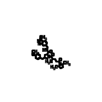 COc1ccc(CC2CC(C(=O)NCc3ccc4c(c3)nnn4C)N(C(=O)C(N)CCC(=O)N3C(C)CCC3C)C2)cc1